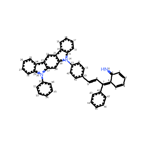 N=C1C=CC=C/C1=C(/C=C/c1ccc(-n2c3ccccc3c3cc4c5ccccc5n(-c5ccccc5)c4cc32)cc1)c1ccccc1